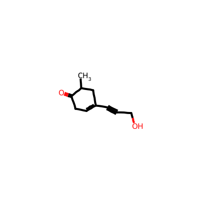 CC1CC(C#CCO)=CCC1=O